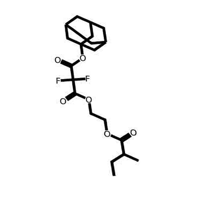 CCC(C)C(=O)OCCOC(=O)C(F)(F)C(=O)OC12CC3CC(CC(C3)C1)C2